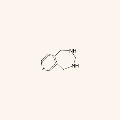 c1ccc2c(c1)CNCNC2